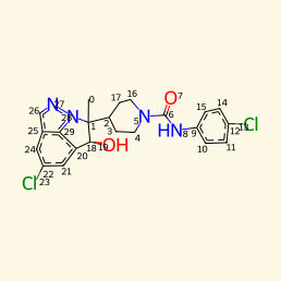 CC1(C2CCN(C(=O)Nc3ccc(Cl)cc3)CC2)[C@@H](O)c2cc(Cl)cc3cnn1c23